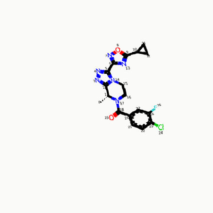 C[C@@H]1c2nnc(-c3noc(C4CC4)n3)n2CCN1C(=O)c1ccc(Cl)c(F)c1